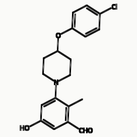 Cc1c(C=O)cc(O)cc1N1CCC(Oc2ccc(Cl)cc2)CC1